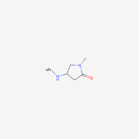 CCCNC1CC(=O)N(C)C1